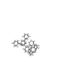 C1=CC2=C(CC1)c1c(-c3nc(-c4ccccc4)cc(-c4ccccc4)n3)cccc1C21c2ccccc2Oc2ccccc21